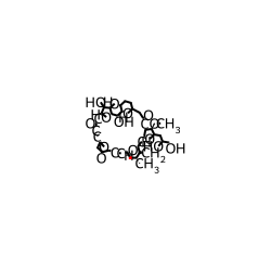 C=C1C2C[C@@H]3OC(CC(O)CO)[C@H](OC)C3CC(=O)CC3CCC4O[C@@H]5C(O[C@H](CC(=O)CCC6CC(=O)C(CC[C@@H](C[C@H]1C)O2)O6)C5O)C(O)[C@H]4O3